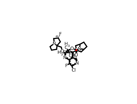 CC(C)(C)OC(=O)N1C2CCC1CN(c1nc(OCC34CCCN3C[C@H](F)C4)nc3c(F)c(Cl)ncc13)C2